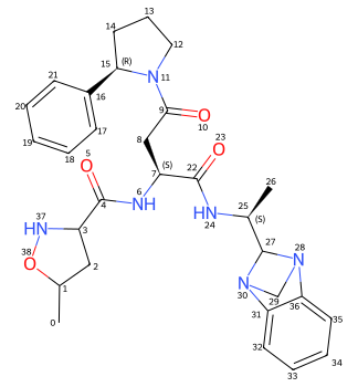 CC1CC(C(=O)N[C@@H](CC(=O)N2CCC[C@@H]2c2ccccc2)C(=O)N[C@@H](C)C2N3CN2c2ccccc23)NO1